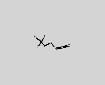 O=C=NOCC(F)(F)F